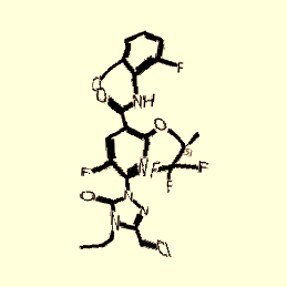 CCn1c(CCl)nn(-c2nc(O[C@@H](C)C(F)(F)F)c(C(=O)Nc3c(F)cccc3Cl)cc2F)c1=O